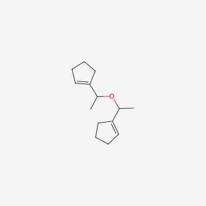 CC(OC(C)C1=CCCC1)C1=CCCC1